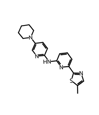 Cc1cnc(-c2cccc(Nc3ccc(N4CCCCC4)cn3)n2)s1